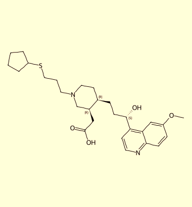 COc1ccc2nccc([C@@H](O)CC[C@@H]3CCN(CCCSC4CCCC4)C[C@@H]3CC(=O)O)c2c1